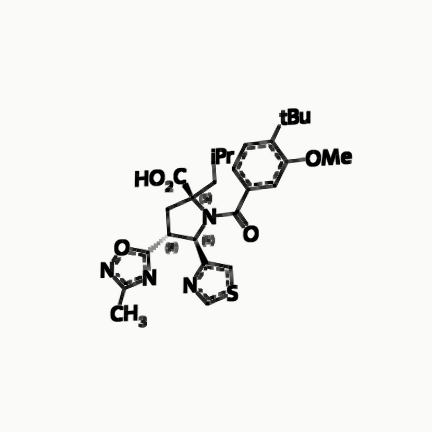 COc1cc(C(=O)N2[C@@H](c3cscn3)[C@H](c3nc(C)no3)C[C@@]2(CC(C)C)C(=O)O)ccc1C(C)(C)C